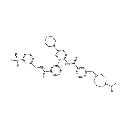 C=C(C)N1CCCN(Cc2cccc(C(=O)Nc3ccc(N4CCCCC4)cc3-c3cc(C(=O)NCc4cccc(C(F)(F)F)c4)ccn3)c2)CC1